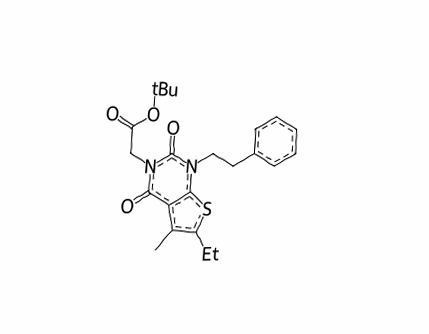 CCc1sc2c(c1C)c(=O)n(CC(=O)OC(C)(C)C)c(=O)n2CCc1ccccc1